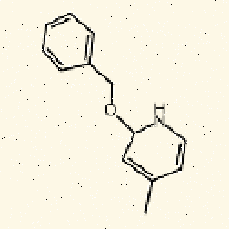 CC1=CC(OCc2ccccc2)NC=C1